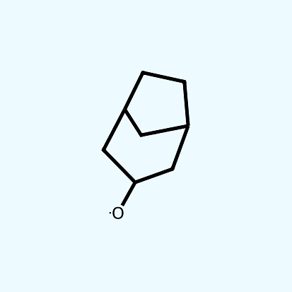 [O]C1CC2CCC(C1)C2